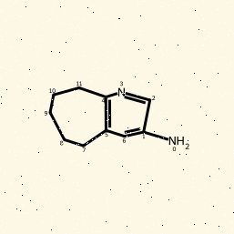 Nc1cnc2c(c1)CCCCC2